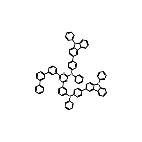 c1ccc(-c2cccc(-c3cccc(-c4nc(-c5cccc(N(c6ccccc6)c6ccc(-c7ccc8c(c7)c7ccccc7n8-c7ccccc7)cc6)c5)nc(N(c5ccccc5)c5ccc(-c6ccc7c(c6)c6ccccc6n7-c6ccccc6)cc5)n4)c3)c2)cc1